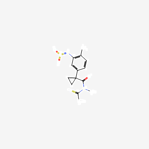 CCCCN(C(=O)C1(c2ccc(C)c(N=S(=O)=O)c2)CC1)C(=S)NC